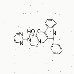 O=C(O)c1c(CN2CCN(c3ncccn3)CC2)c(-c2ccccc2)nc2ccccc12